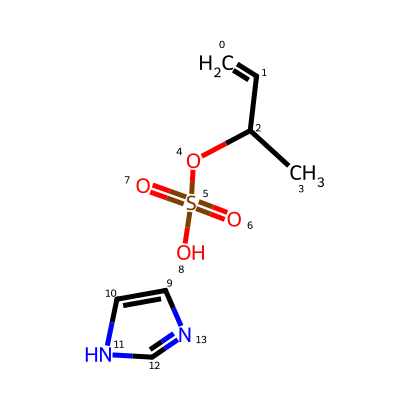 C=CC(C)OS(=O)(=O)O.c1c[nH]cn1